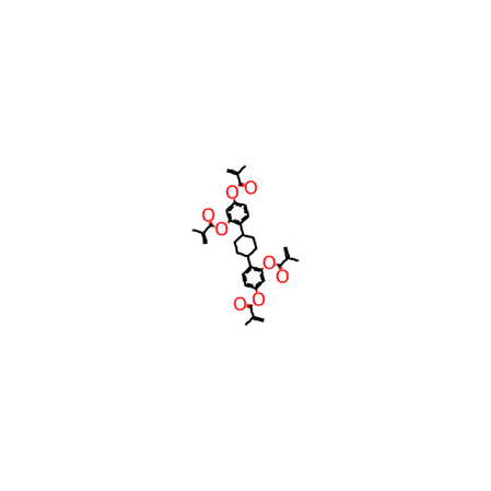 C=C(C)C(=O)Oc1ccc(C2CCC(c3ccc(OC(=O)C(=C)C)cc3OC(=O)C(=C)C)CC2)c(OC(=O)C(=C)C)c1